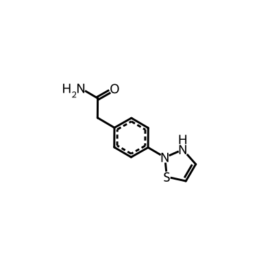 NC(=O)Cc1ccc(N2NC=CS2)cc1